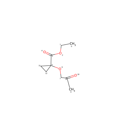 CCOC(=O)C1(OCC(C)=O)CC1